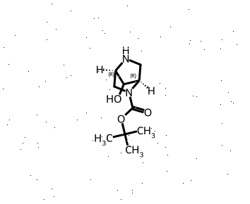 CC(C)(C)OC(=O)N1C[C@H]2NC[C@@H]1C2O